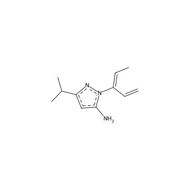 C=C/C(=C\C)n1nc(C(C)C)cc1N